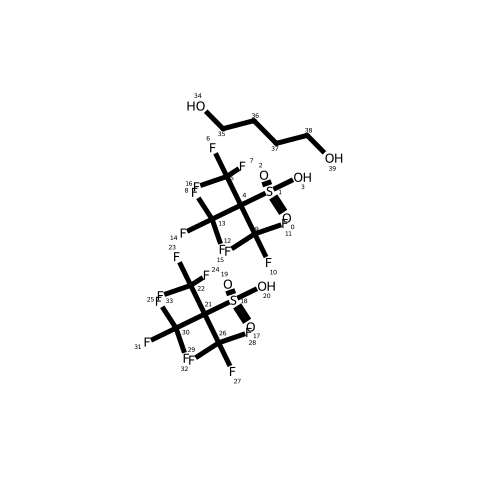 O=S(=O)(O)C(C(F)(F)F)(C(F)(F)F)C(F)(F)F.O=S(=O)(O)C(C(F)(F)F)(C(F)(F)F)C(F)(F)F.OCCCCO